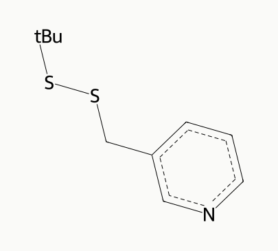 CC(C)(C)SSCc1cccnc1